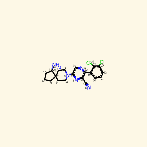 N#Cc1nc(N2CCC3(CCC[C@H]3N)CC2)cnc1-c1cccc(Cl)c1Cl